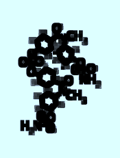 CN(C(=O)c1ccc(OS(=O)(=O)Oc2ccc(C(=O)N(C)c3cccc(OS(N)(=O)=O)c3)cc2)cc1)c1cccc(OS(N)(=O)=O)c1